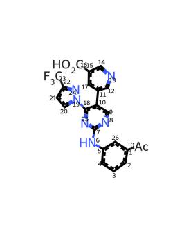 CC(=O)c1cccc(Nc2ncc(-c3cncc(C(=O)O)c3)c(-n3ccc(C(F)(F)F)n3)n2)c1